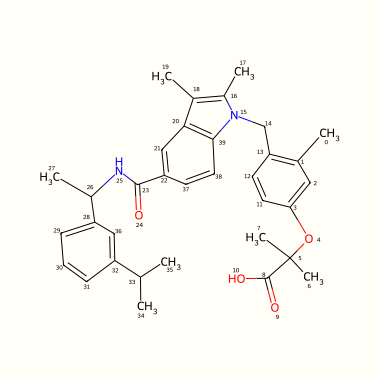 Cc1cc(OC(C)(C)C(=O)O)ccc1Cn1c(C)c(C)c2cc(C(=O)NC(C)c3cccc(C(C)C)c3)ccc21